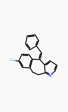 Fc1ccc2c(c1)CCc1ncccc1/C2=C/c1ccccc1